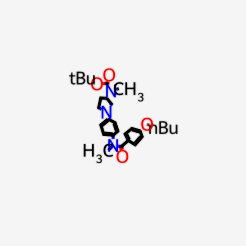 CCCCOc1ccc(C(=O)N(C)c2ccc(N3CCC(N(C)C(=O)OC(C)(C)C)C3)cc2)cc1